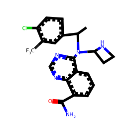 CC(c1ccc(Cl)c(C(F)(F)F)c1)N(c1ncnc2c(C(N)=O)cccc12)C1CCN1